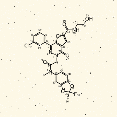 CN(C(=O)Cn1nc(-c2cccc(Cl)c2)c2oc(C(=O)NCCO)cc2c1=O)c1ccc2c(c1)OC(F)(F)O2